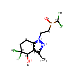 [O-][S+](CCn1nc(C(F)(F)F)c2c1CCC(F)(F)C2O)C(F)F